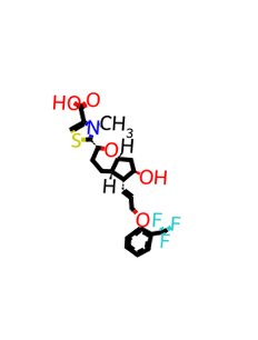 CN1C(C(=O)O)=CSC1[C@H]1CC[C@@H]2[C@@H](/C=C/COc3ccccc3C(F)(F)F)[C@H](O)C[C@@H]2O1